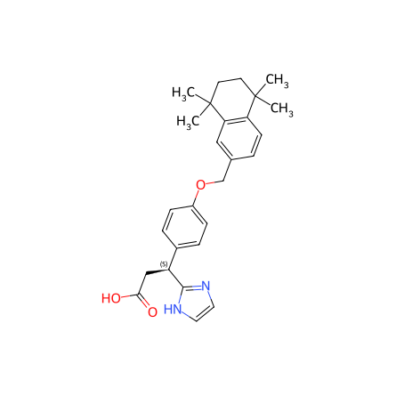 CC1(C)CCC(C)(C)c2cc(COc3ccc([C@H](CC(=O)O)c4ncc[nH]4)cc3)ccc21